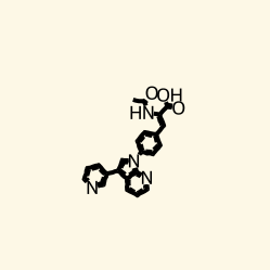 CC(=O)N/C(=C\c1ccc(-n2cc(-c3cccnc3)c3cccnc32)cc1)C(=O)O